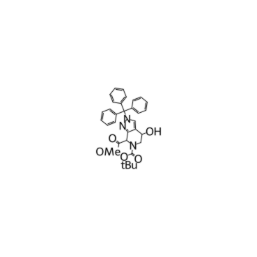 COC(=O)C1c2nn(C(c3ccccc3)(c3ccccc3)c3ccccc3)cc2C(O)CN1C(=O)OC(C)(C)C